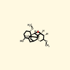 CO[C@H]1C[C@@]23OC(C)O[C@]24C(C[C@H]1[C@@H]4C)[C@@]12CC3CC1[C@@H](O)CC[C@@H]2OC